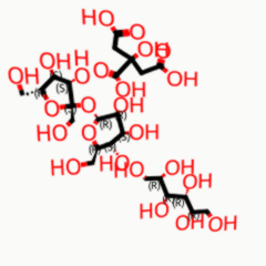 O=C(O)CC(O)(CC(=O)O)C(=O)O.OC[C@@H](O)[C@@H](O)[C@H](O)[C@H](O)CO.OC[C@H]1O[C@@](CO)(O[C@H]2O[C@H](CO)[C@@H](O)[C@H](O)[C@H]2O)[C@@H](O)[C@@H]1O